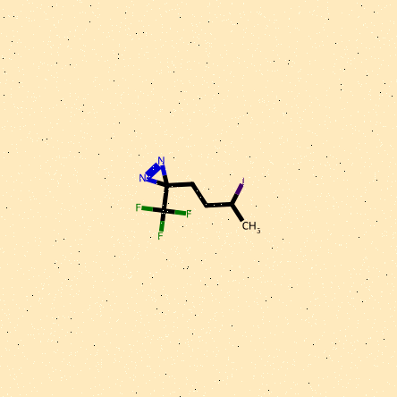 CC(I)CCC1(C(F)(F)F)N=N1